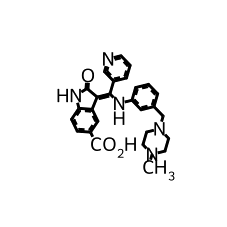 CN1CCN(Cc2cccc(NC(=C3C(=O)Nc4ccc(C(=O)O)cc43)c3cccnc3)c2)CC1